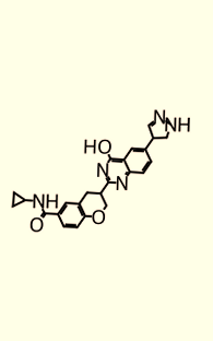 O=C(NC1CC1)c1ccc2c(c1)CC(c1nc(O)c3cc(C4C=NNC4)ccc3n1)CO2